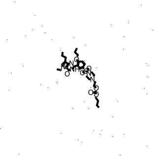 CCCCOC(=O)OCCN1CCN(S(=O)(=O)c2ccc(OCCC)c(-c3nc4c(CCC)cn(CC)c4c(=O)[nH]3)c2)CC1